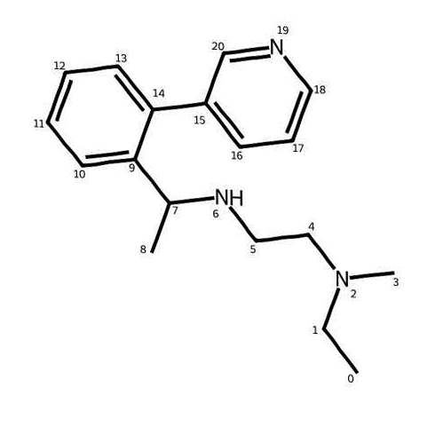 CCN(C)CCNC(C)c1ccccc1-c1cccnc1